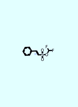 O=S(=O)(/C=C/c1ccccc1)OC(F)F